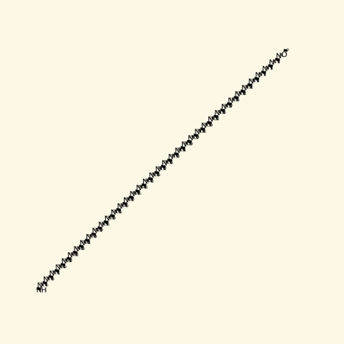 CON=NN=NN=NN=NN=NN=NN=NN=NN=NN=NN=NN=NN=NN=NN=NN=NN=NN=NN=NN=NN=NN=NN=NN=NN=NN=NN=NN=NN=NN=NN=NN=NN=NN=NN=NN=NN=NN=N